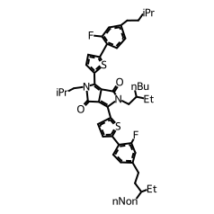 CCCCCCCCCC(CC)CCc1ccc(-c2ccc(C3=C4C(=O)N(CC(C)C)C(c5ccc(-c6ccc(CCC(C)C)cc6F)s5)=C4C(=O)N3CC(CC)CCCC)s2)c(F)c1